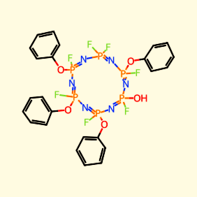 OP1(F)=NP(F)(Oc2ccccc2)=NP(F)(Oc2ccccc2)=NP(F)(Oc2ccccc2)=NP(F)(F)=NP(F)(Oc2ccccc2)=N1